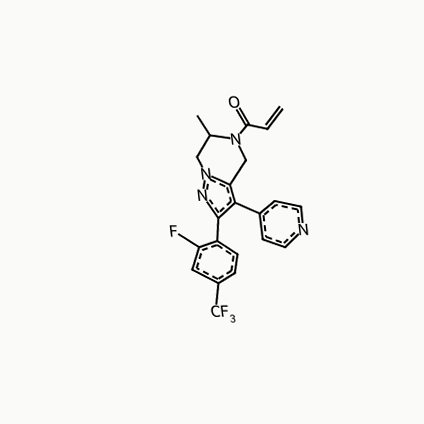 C=CC(=O)N1Cc2c(-c3ccncc3)c(-c3ccc(C(F)(F)F)cc3F)nn2CC1C